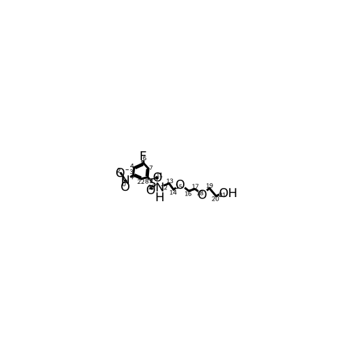 O=[N+]([O-])c1cc(F)cc(S(=O)(=O)NCCOCCOCCO)c1